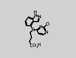 O=C(O)CCCN(c1ccnc(Cl)n1)c1cccc2[nH]ncc12